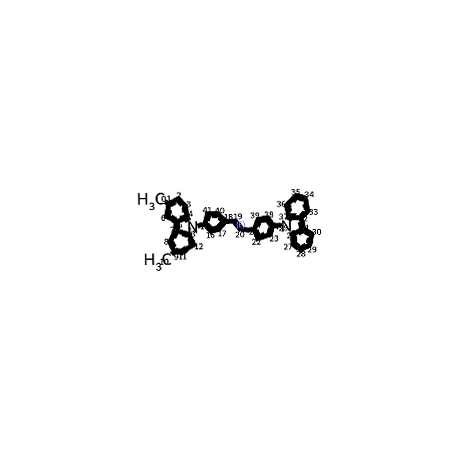 Cc1ccc2c(c1)c1cc(C)ccc1n2-c1ccc(/C=C/c2ccc(-n3c4ccccc4c4ccccc43)cc2)cc1